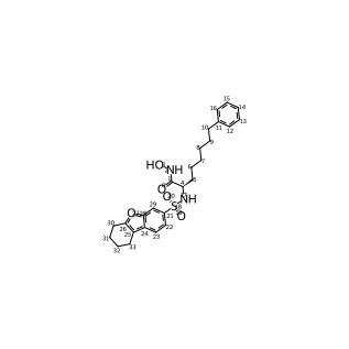 O=C(NO)[C@@H](CCCCCCc1ccccc1)NS(=O)(=O)c1ccc2c3c(oc2c1)CCCC3